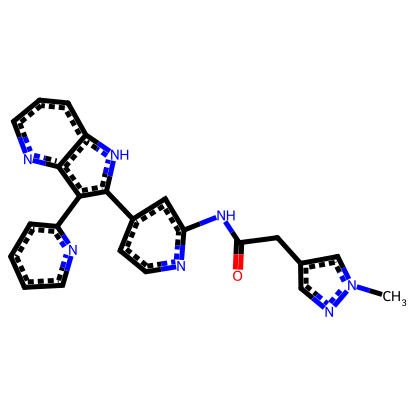 Cn1cc(CC(=O)Nc2cc(-c3[nH]c4cccnc4c3-c3ccccn3)ccn2)cn1